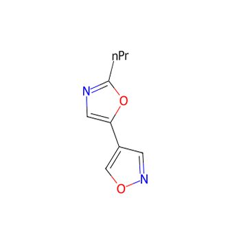 CCCc1ncc(-c2cnoc2)o1